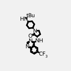 CC(C)(C)NC1CCC(N2CC[C@H](Nc3ncnc4ccc(C(F)(F)F)cc34)C2=O)CC1